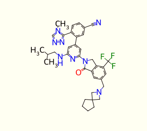 CC(C)CNc1cc(-c2cc(C#N)ccc2-c2nncn2C)cc(N2Cc3c(cc(CN4CC5(CCCC5)C4)cc3C(F)(F)F)C2=O)n1